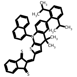 CC(C)c1cccc(C(C)C)c1-c1ccc2c(c1)C(C)(C)c1cc(C=C3C(=S)c4ccccc4C3=S)sc1N2c1cccc2ccccc12